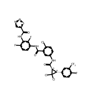 O=C(Nc1c(F)ccc(NC(=O)c2cc(NC(=O)[C@H]3[C@H](c4ccc(F)c(C(F)(F)F)c4)C3(Cl)Cl)ccc2Cl)c1F)c1cnns1